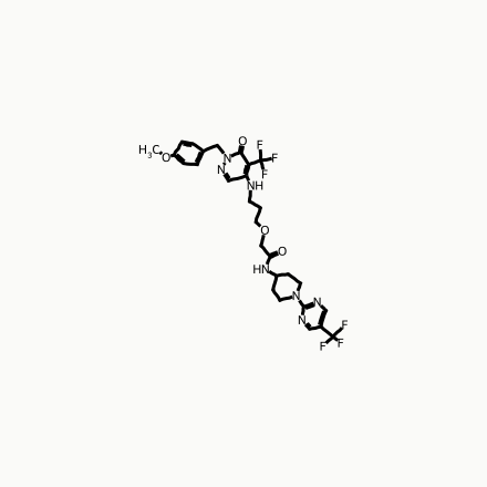 COc1ccc(Cn2ncc(NCCCOCC(=O)NC3CCN(c4ncc(C(F)(F)F)cn4)CC3)c(C(F)(F)F)c2=O)cc1